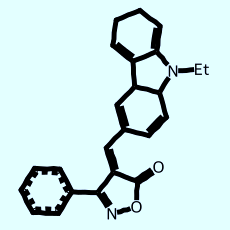 CCN1C2=CCCC=C2C2C=C(/C=C3\C(=O)ON=C3c3ccccc3)C=CC21